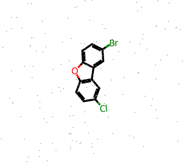 Clc1ccc2oc3ccc(Br)cc3c2c1